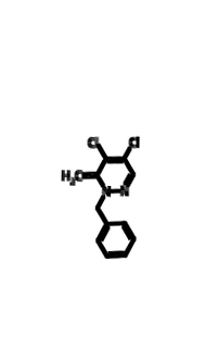 C=C1C(Cl)=C(Cl)C=NN1Cc1ccccc1